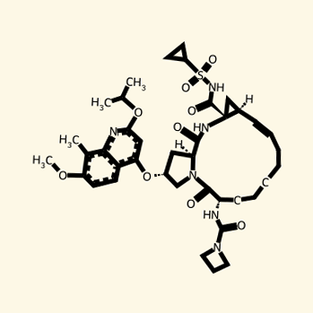 COc1ccc2c(O[C@@H]3C[C@H]4C(=O)N[C@]5(C(=O)NS(=O)(=O)C6CC6)C[C@H]5C=CCCCCC[C@H](NC(=O)N5CCC5)C(=O)N4C3)cc(OC(C)C)nc2c1C